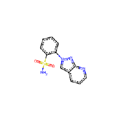 NS(=O)(=O)c1ccccc1-n1cc2cccnc2n1